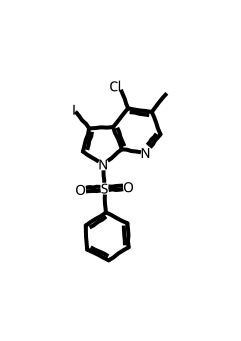 Cc1cnc2c(c(I)cn2S(=O)(=O)c2ccccc2)c1Cl